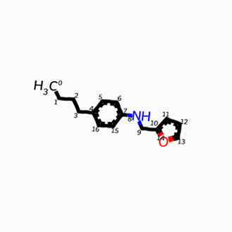 CCCCc1ccc(NCc2ccco2)cc1